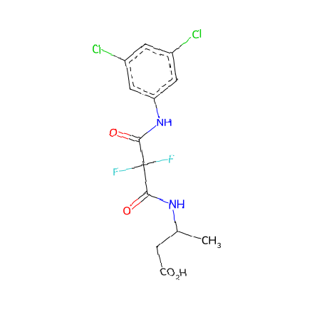 CC(CC(=O)O)NC(=O)C(F)(F)C(=O)Nc1cc(Cl)cc(Cl)c1